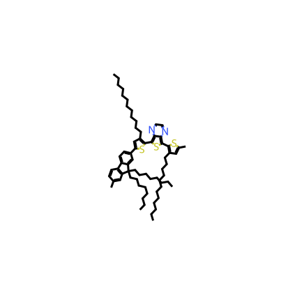 CCCCCCCCCCCCc1cc(C)sc1-c1sc(-c2sc(-c3ccc4c(c3)C(CCCCCCCC)(CCCCCCCC)c3cc(C)ccc3-4)cc2CCCCCCCCCCCC)c2nccnc12